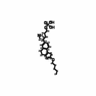 CCCCCOc1nc2c(s1)-c1ccc([C@H](CN)CCCOP(=O)(O)O)cc1CC2